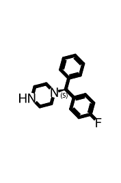 Fc1ccc([C@H](c2ccccc2)N2CCNCC2)cc1